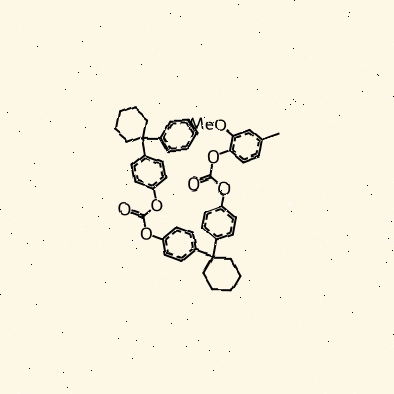 COc1cc(C)ccc1OC(=O)Oc1ccc(C2(c3ccc(OC(=O)Oc4ccc(C5(c6ccccc6)CCCCC5)cc4)cc3)CCCCC2)cc1